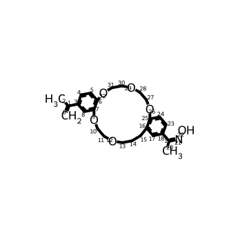 C=C(C)c1ccc2c(c1)OCCOCCCc1cc(/C(C)=N\O)ccc1OCCOCCO2